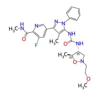 CNC(=O)c1ncc(-c2nn(-c3ccccc3)c(NC(=O)N[C@@H]3CN(CCOC)O[C@H]3C)c2C)cc1F